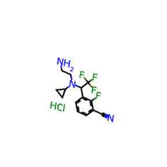 Cl.N#Cc1cccc(C(N(CCN)C2CC2)C(F)(F)F)c1F